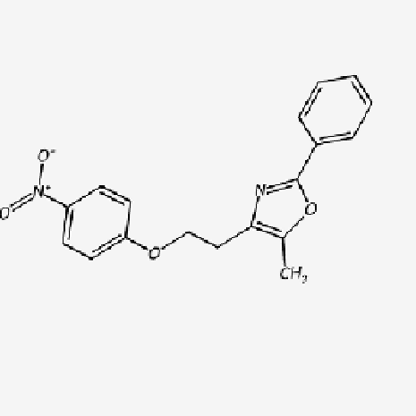 Cc1oc(-c2ccccc2)nc1CCOc1ccc([N+](=O)[O-])cc1